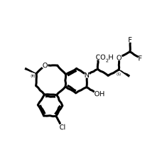 C[C@@H]1Cc2ccc(Cl)cc2C2=CC(O)N(C(C[C@H](C)OC(F)F)C(=O)O)C=C2CO1